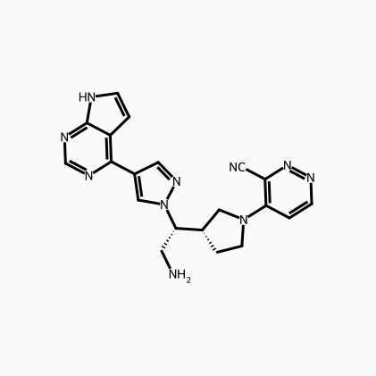 N#Cc1nnccc1N1CC[C@H]([C@H](CN)n2cc(-c3ncnc4[nH]ccc34)cn2)C1